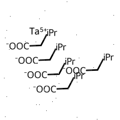 CC(C)CC(=O)[O-].CC(C)CC(=O)[O-].CC(C)CC(=O)[O-].CC(C)CC(=O)[O-].CC(C)CC(=O)[O-].[Ta+5]